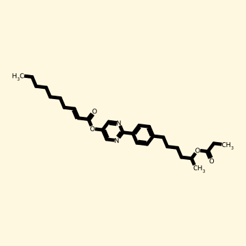 CCCCCCCC=CC(=O)Oc1cnc(-c2ccc(CCCCC(C)OC(=O)CC)cc2)nc1